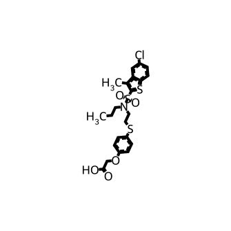 CCCN(CCSc1ccc(OCC(=O)O)cc1)S(=O)(=O)c1sc2ccc(Cl)cc2c1C